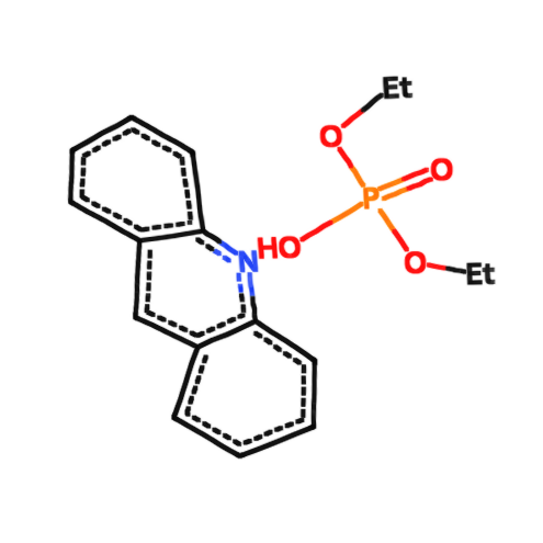 CCOP(=O)(O)OCC.c1ccc2nc3ccccc3cc2c1